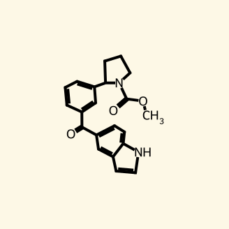 COC(=O)N1CCCC1c1cccc(C(=O)c2ccc3[nH]ccc3c2)c1